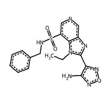 CCn1c(-c2nonc2N)nc2cncc(S(=O)(=O)NCc3ccccc3)c21